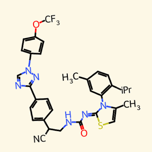 Cc1ccc(C(C)C)c(-n2c(C)cs/c2=N\C(=O)NCC(C#N)c2ccc(-c3ncn(-c4ccc(OC(F)(F)F)cc4)n3)cc2)c1